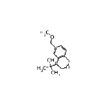 COCc1ccc2c(c1)C(C(C)(C)C)COC2